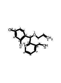 C=CCOC(c1ccc(Cl)cc1Cl)c1ncccc1CO